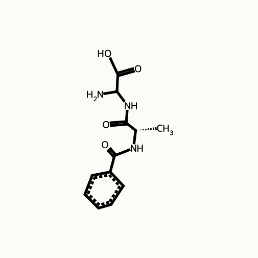 C[C@H](NC(=O)c1ccccc1)C(=O)NC(N)C(=O)O